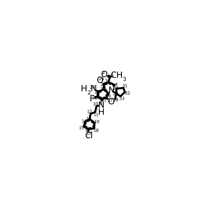 CC(=O)c1cn2c3c(c(NCCCc4ccc(Cl)cc4)c(F)c(N)c3c1=O)OCC21CCCC1